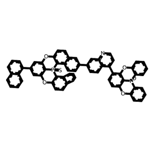 O=P12c3ccccc3Oc3ccc(-c4ccnc5cc(-c6ccc7c8c(ccc7c6)Oc6cc(-c7cccc9ccccc79)cc7c6P8(=S)c6c(ccc8ccccc68)O7)ccc45)c(c31)Oc1ccccc12